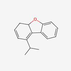 CC(C)C1=C2c3ccccc3OC2CC=C1